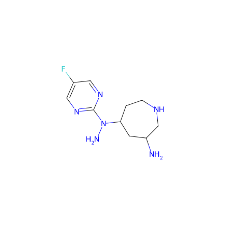 NC1CNCCC(N(N)c2ncc(F)cn2)C1